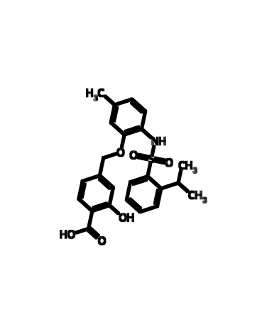 Cc1ccc(NS(=O)(=O)c2ccccc2C(C)C)c(OCc2ccc(C(=O)O)c(O)c2)c1